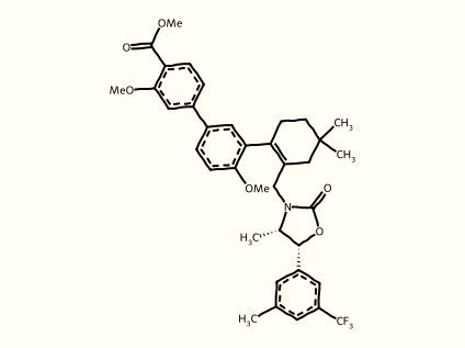 COC(=O)c1ccc(-c2ccc(OC)c(C3=C(CN4C(=O)O[C@H](c5cc(C)cc(C(F)(F)F)c5)[C@@H]4C)CC(C)(C)CC3)c2)cc1OC